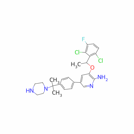 CC(Oc1cc(-c2ccc(C(C)(C)N3CCNCC3)cc2)cnc1N)c1c(Cl)ccc(F)c1Cl